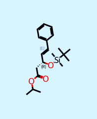 CC(C)OC(=O)C[C@H](/C=C/c1ccccc1)O[Si](C)(C)C(C)(C)C